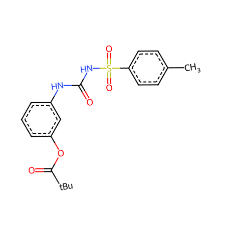 Cc1ccc(S(=O)(=O)NC(=O)Nc2cccc(OC(=O)C(C)(C)C)c2)cc1